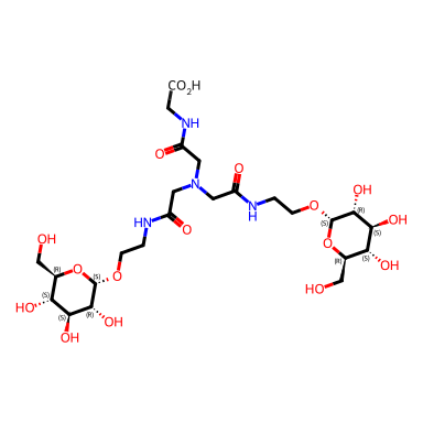 O=C(O)CNC(=O)CN(CC(=O)NCCO[C@H]1O[C@H](CO)[C@@H](O)[C@H](O)[C@H]1O)CC(=O)NCCO[C@H]1O[C@H](CO)[C@@H](O)[C@H](O)[C@H]1O